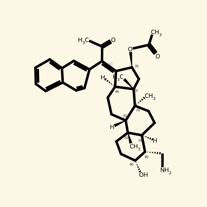 CC(=O)O[C@H]1C[C@@]2(C)[C@@H](CC[C@H]3[C@@]4(C)CC[C@@H](O)[C@@H](CN)[C@@H]4CC[C@@]32C)/C1=C(/C(C)=O)c1ccc2ccccc2c1